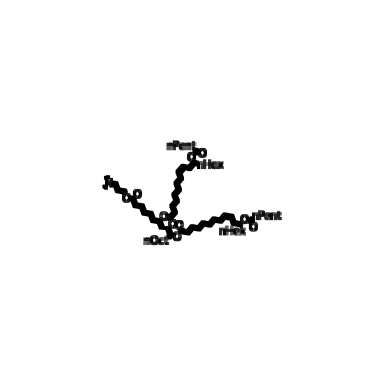 CCCCCCCCC(OC(=O)CCCCCCC/C=C\C[C@@H](CCCCCC)OC(=O)CCCCC)[C@@H](CCCCCCCC(=O)OCCCN(C)C)OC(=O)CCCCCCC/C=C\CC(CCCCCC)OC(=O)CCCCC